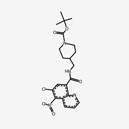 CC(C)(C)OC(=O)N1CCC(CNC(=O)c2cc(Cl)c([N+](=O)[O-])c3cccnc23)CC1